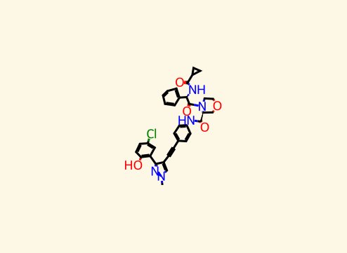 Cn1cc(C#Cc2ccc(NC(=O)[C@@H]3COCCN3C(=O)[C@H](NC(=O)C3CC3)c3ccccc3)cc2)c(-c2cc(Cl)ccc2O)n1